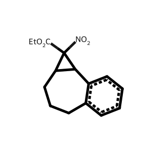 CCOC(=O)C1([N+](=O)[O-])C2CCCc3ccccc3C21